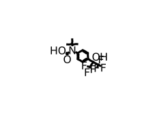 CC(C)(C)N(C(=O)O)c1ccc(C(O)(C(F)(F)F)C(F)(F)F)cc1